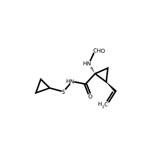 C=C[C@@H]1C[C@]1(NC=O)C(=O)NSC1CC1